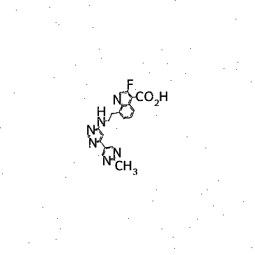 Cc1ncc(-c2cc(NCCc3cccc4c(C(=O)O)c(F)cnc34)ncn2)cn1